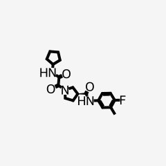 Cc1cc(NC(=O)[C@H]2CCN(C(=O)C(=O)NC3CCCC3)C2)ccc1F